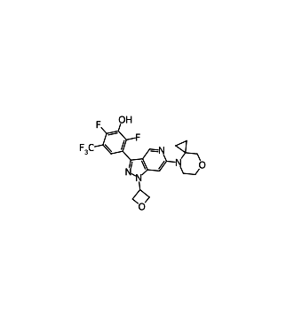 Oc1c(F)c(-c2nn(C3COC3)c3cc(N4CCOCC45CC5)ncc23)cc(C(F)(F)F)c1F